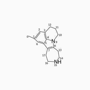 Cc1cc2c3c(c1)c1c(n3CCC2)CCNCC1